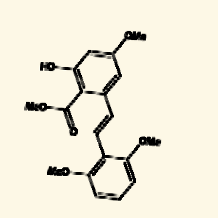 COC(=O)c1c(O)cc(OC)cc1/C=C/c1c(OC)cccc1OC